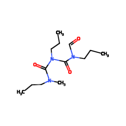 CCCN(C)C(=O)N(CCC)C(=O)N(C=O)CCC